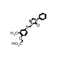 Cc1cc(SCn2ncn(-c3ccccc3)c2=O)ccc1OCC(=O)O